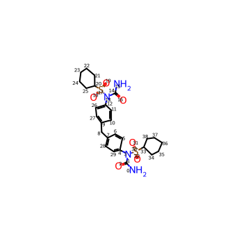 NC(=O)N(c1ccc(Cc2ccc(N(C(N)=O)S(=O)(=O)C3CCCCC3)cc2)cc1)S(=O)(=O)C1CCCCC1